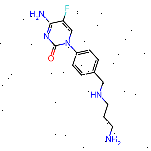 NCCCNCc1ccc(-n2cc(F)c(N)nc2=O)cc1